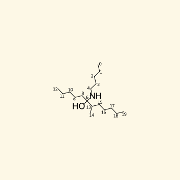 CCCCCNC(O)(CCCCC)C(C)CCCCC